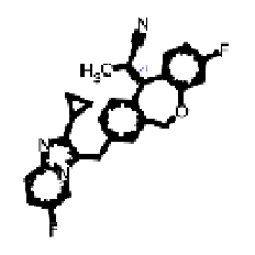 C/C(C#N)=C1\c2ccc(Cc3c(C4CC4)nc4ccc(F)cn34)cc2COc2cc(F)ccc21